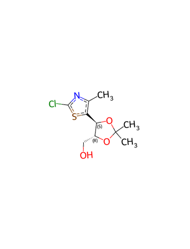 Cc1nc(Cl)sc1[C@H]1OC(C)(C)O[C@@H]1CO